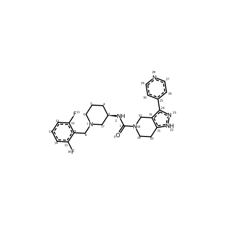 O=C(N[C@@H]1CCCN(Cc2c(F)cccc2F)C1)N1CCc2[nH]nc(-c3ccncc3)c2C1